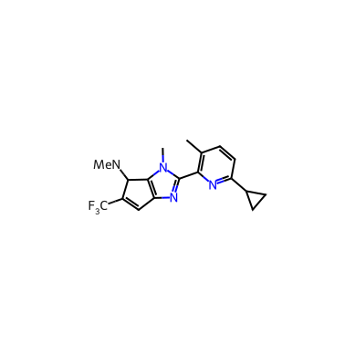 CNC1C(C(F)(F)F)=Cc2nc(-c3nc(C4CC4)ccc3C)n(C)c21